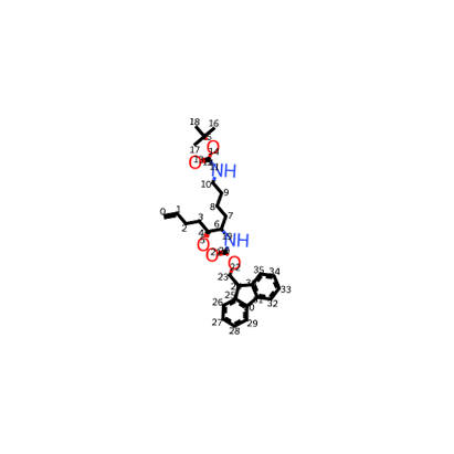 C=CCCC(=O)C(CCCCNC(=O)OC(C)(C)C)NC(=O)OCC1c2ccccc2-c2ccccc21